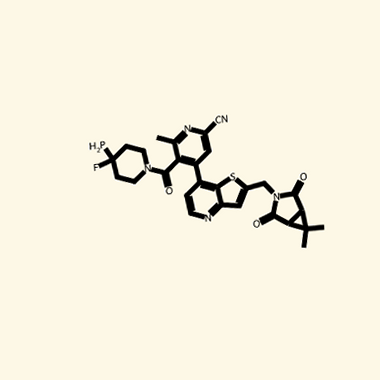 Cc1nc(C#N)cc(-c2ccnc3cc(CN4C(=O)C5C(C4=O)C5(C)C)sc23)c1C(=O)N1CCC(F)(P)CC1